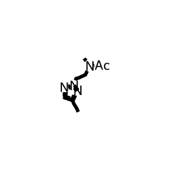 CC(=O)N(C)CCn1ncc(C)n1